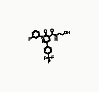 O=C(NCCO)c1cc(-c2ccc(C(F)(F)F)cc2)nn(-c2cccc(F)c2)c1=O